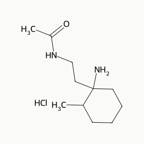 CC(=O)NCCC1(N)CCCCC1C.Cl